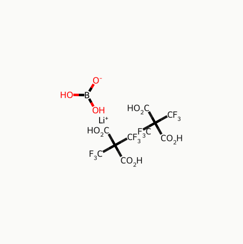 O=C(O)C(C(=O)O)(C(F)(F)F)C(F)(F)F.O=C(O)C(C(=O)O)(C(F)(F)F)C(F)(F)F.[Li+].[O-]B(O)O